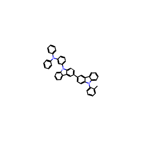 Cc1ccccc1-n1c2ccccc2c2cc(-c3ccc4c(c3)c3ccccc3n4-c3cccc(N(c4ccccc4)c4ccccc4)c3)ccc21